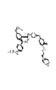 COc1ccc(-c2nnc(NC3CCN(Cc4ccc(OCCCN5CCOCC5)c(F)c4)CC3)c3cc(OC)ccc23)cc1